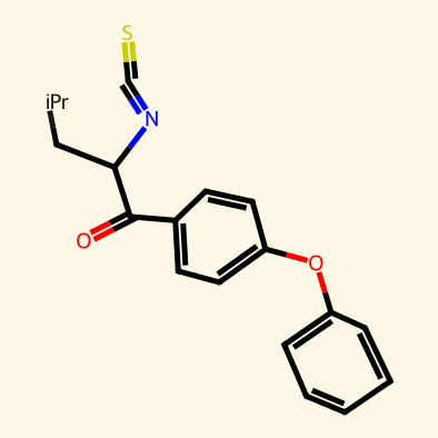 CC(C)CC(N=C=S)C(=O)c1ccc(Oc2ccccc2)cc1